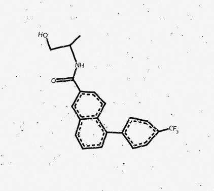 CC(CO)NC(=O)c1ccc2c(-c3ccc(C(F)(F)F)cc3)cccc2c1